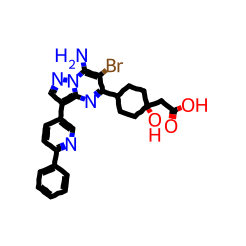 Nc1c(Br)c(C2CCC(O)(CC(=O)O)CC2)nc2c(-c3ccc(-c4ccccc4)nc3)cnn12